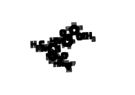 CNc1cc(Nc2cccn([C@H]3CCC[C@H]3OC)c2=O)nc2c(C(=O)NC3CC3)cnn12